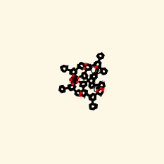 c1ccc(-c2cc(-c3ccccc3)cc(-c3cccc(-c4cc(-c5cccc(-c6cc(-c7ccccc7)cc(-c7ccccc7)c6)c5)cc(C5(c6cc(-c7cccc(-c8cc(-c9ccccc9)cc(-c9ccccc9)c8)c7)cc(-c7cccc(-c8cc(-c9ccccc9)cc(-c9ccccc9)c8)c7)c6)c6cc7c(cc6-c6c5ccc5oc8ccccc8c65)OCO7)c4)c3)c2)cc1